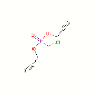 C#CCOP(=O)(CCl)OCC#C